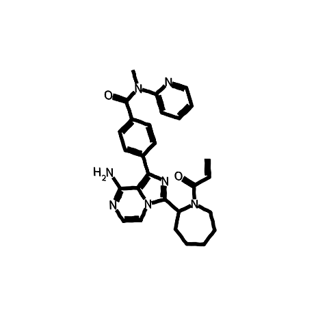 C=CC(=O)N1CCCCCC1c1nc(-c2ccc(C(=O)N(C)c3ccccn3)cc2)c2c(N)nccn12